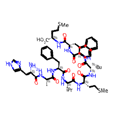 CC[C@H](C)[C@H](NC(=O)[C@H](CCSC)NC(=O)[C@@H](NC(=O)[C@H](Cc1ccccc1)NC(=O)[C@H](C)NC(=O)[C@@H](N)Cc1c[nH]cn1)C(C)C)C(=O)N[C@@H](Cc1ccccc1)C(=O)N[C@@H](Cc1ccccc1)C(=O)N[C@@H](CCSC)C(=O)O